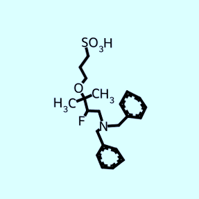 CC(C)(OCCCS(=O)(=O)O)C(F)CN(Cc1ccccc1)Cc1ccccc1